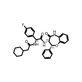 O=C(CC1CCCCC1)N[C@H](C(=O)N[C@@H]1C(=O)Nc2ccccc2O[C@H]1c1ccccc1)c1ccc(F)cc1